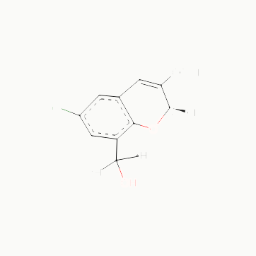 [2H]C([2H])(O)c1cc(Cl)cc2c1O[C@H](C(F)(F)F)C(C(=O)O)=C2